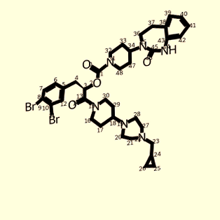 O=C(O[C@H](Cc1ccc(Br)c(Br)c1)C(=O)N1CCC(N2CCN(CC3CC3)CC2)CC1)N1CCC(N2CCc3ccccc3NC2=O)CC1